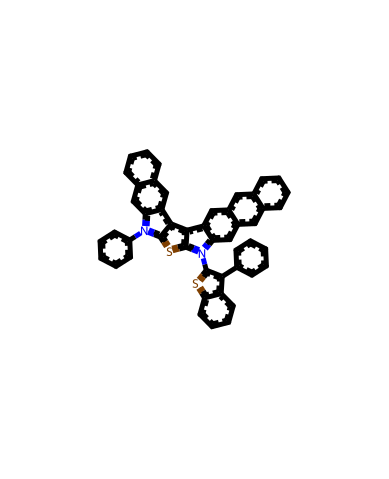 c1ccc(-c2c(-n3c4cc5cc6ccccc6cc5cc4c4c5c6cc7ccccc7cc6n(-c6ccccc6)c5sc43)sc3ccccc23)cc1